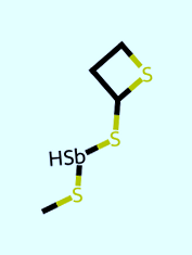 C[S][SbH][S]C1CCS1